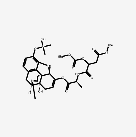 C[C@H](NC(=O)C(CC(=O)OC(C)(C)C)OC(=O)OC(C)(C)C)C(=O)OC1=CC[C@@]2(O)[C@H]3Cc4ccc(O[Si](C)(C)C(C)(C)C)c5c4[C@@]2(CCN3C)[C@H]1O5